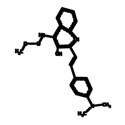 COONc1c(O)c(/C=C/c2ccc(N(C)C)cc2)nc2ccccc12